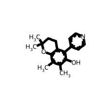 Cc1c(C)c2c(c(-c3ccncc3)c1O)CCC(C)(C)O2